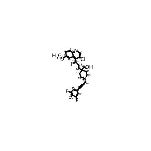 COc1ccc2ncc(Cl)c([C@H](F)CCC3(CO)CCN(CC#Cc4cc(F)c(F)c(F)c4)CC3)c2c1